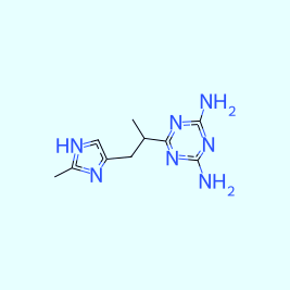 Cc1nc(CC(C)c2nc(N)nc(N)n2)c[nH]1